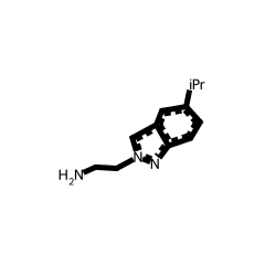 CC(C)c1ccc2nn(CCN)cc2c1